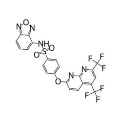 O=S(=O)(Nc1cccc2nonc12)c1ccc(Oc2ccc3c(C(F)(F)F)cc(C(F)(F)F)nc3n2)cc1